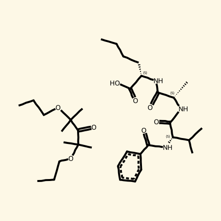 CCCC[C@H](NC(=O)[C@H](C)NC(=O)[C@@H](NC(=O)c1ccccc1)C(C)C)C(=O)O.CCCOC(C)(C)C(=O)C(C)(C)OCCC